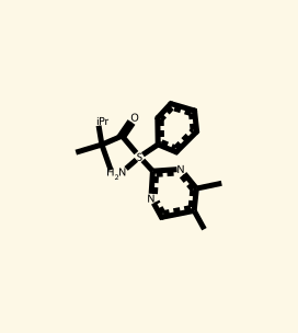 Cc1cnc(S(N)(C(=O)C(C)(C)C(C)C)c2ccccc2)nc1C